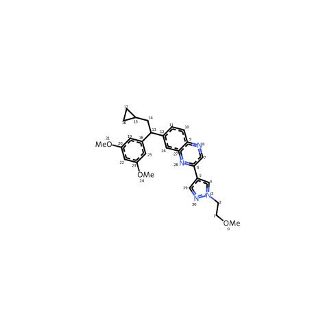 COCCn1cc(-c2cnc3ccc(C(CC4CC4)c4cc(OC)cc(OC)c4)cc3n2)cn1